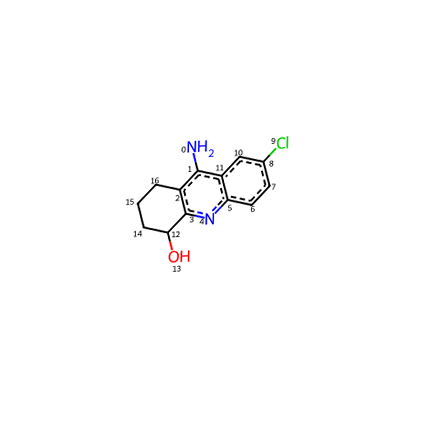 Nc1c2c(nc3ccc(Cl)cc13)C(O)CCC2